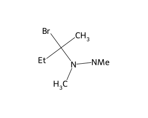 CCC(C)(Br)N(C)NC